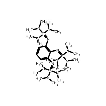 CN(C)P(=Nc1cccc(N=P(N(C)C)(N(C)C)N(C)C)c1N=P(N(C)C)(N(C)C)N(C)C)(N(C)C)N(C)C